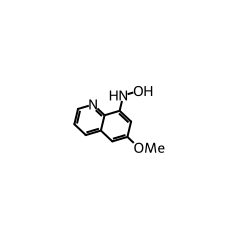 COc1cc(NO)c2ncccc2c1